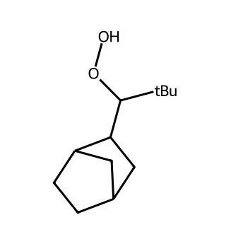 CC(C)(C)C(OO)C1CC2CCC1C2